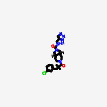 CC(C)(Cc1cccc(Cl)c1)C(=O)N1CC[C@@H]2CN(C(=O)NCc3cnn[nH]3)C[C@@H]2CC1